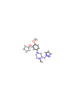 CCOc1ccc(N2CCN(C(C)=O)C(Cn3cccn3)C2)cc1OC1CCCC1